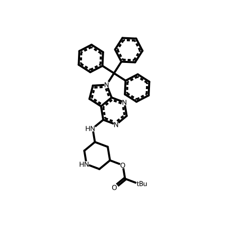 CC(C)(C)C(=O)OC1CNCC(Nc2ncnc3c2ccn3C(c2ccccc2)(c2ccccc2)c2ccccc2)C1